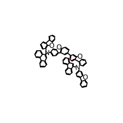 c1ccc2c(c1)cc(N(c1ccc3c(c1)oc1ccc(-c4ccc5c(c4)oc4cccc(N(c6ccc7c(c6)oc6ccccc67)c6cc7ccccc7c7ccccc67)c45)cc13)c1cccc3c1oc1ccccc13)c1ccccc12